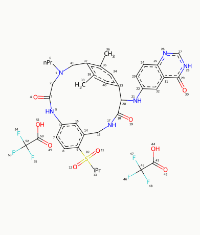 CCCN1CC(=O)Nc2ccc(S(=O)(=O)C(C)C)c(c2)CNC(=O)C(Nc2ccc3nc[nH]c(=O)c3c2)c2cc(C)c(c(C)c2)C1.O=C(O)C(F)(F)F.O=C(O)C(F)(F)F